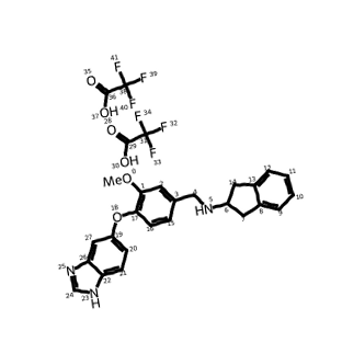 COc1cc(CNC2Cc3ccccc3C2)ccc1Oc1ccc2[nH]cnc2c1.O=C(O)C(F)(F)F.O=C(O)C(F)(F)F